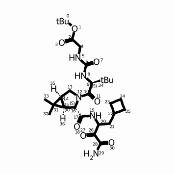 CC(C)(C)OC(=O)CNC(=O)N[C@H](C(=O)N1C[C@H]2[C@@H]([C@H]1C(=O)NC(CC1CCC1)C(=O)C(N)=O)C2(C)C)C(C)(C)C